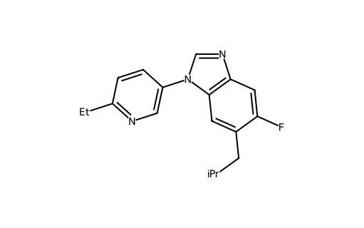 CCc1ccc(-n2cnc3cc(F)c(CC(C)C)cc32)cn1